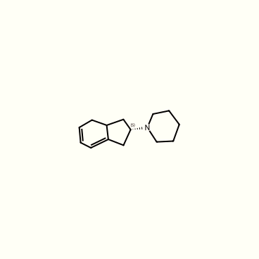 C1=CCC2C[C@H](N3CCCCC3)CC2=C1